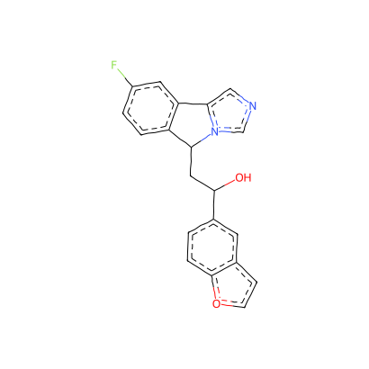 OC(CC1c2ccc(F)cc2-c2cncn21)c1ccc2occc2c1